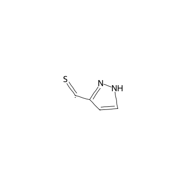 S=[C]c1cc[nH]n1